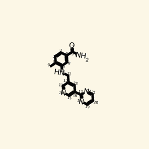 Cc1ccc(C(N)=O)cc1NCc1cncc(-c2ncccn2)c1